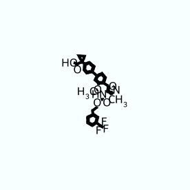 COc1cc(-c2ccc(C3(C(=O)O)CC3)cc2)ccc1-c1onc(C)c1NC(=O)OCCc1cccc(C(F)(F)F)c1